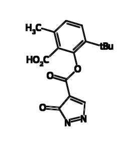 Cc1ccc(C(C)(C)C)c(OC(=O)C2=CN=NC2=O)c1C(=O)O